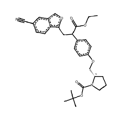 CCOC(=O)C(Cc1occ2cc(C#N)ccc12)c1ccc(OC[C@@H]2CCCN2C(=O)OC(C)(C)C)cc1